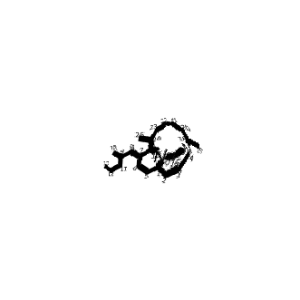 C=C(/C=C\C)/C=C\C(=C/C(=C)/C=C\C)c1ncnc(=C)ccccc1=C